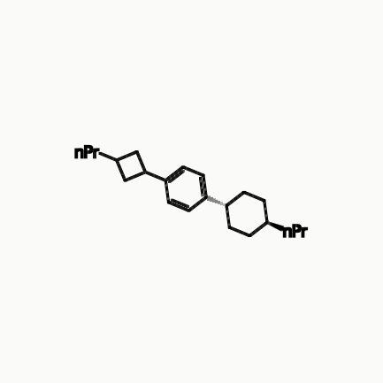 CCCC1CC(c2ccc([C@H]3CC[C@H](CCC)CC3)cc2)C1